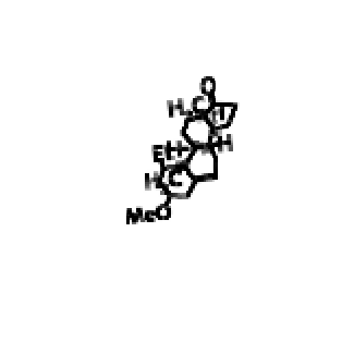 CCC1CC(OC)CC2=CC[C@@H]3[C@@H](CC[C@]4(C)C(=O)CC[C@@H]34)[C@]21C